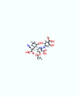 CC(=O)Oc1ccccc1C(=O)O.N#C/C(=C\c1cccc(O)c1)C(=O)O.Nc1ccc(C(=O)O)c(O)c1